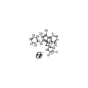 CC1=C(C)C(Cc2ccccc2)=[C]([Zr+2][C]2=C(Cc3ccccc3)C(C)=C(C)C2)C1.[Cl-].[Cl-]